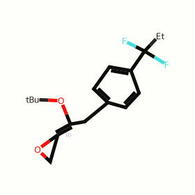 CCC(F)(F)c1ccc(C/C(OC(C)(C)C)=C2\CO2)cc1